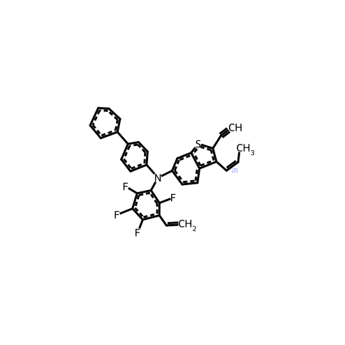 C#Cc1sc2cc(N(c3ccc(-c4ccccc4)cc3)c3c(F)c(F)c(F)c(C=C)c3F)ccc2c1/C=C\C